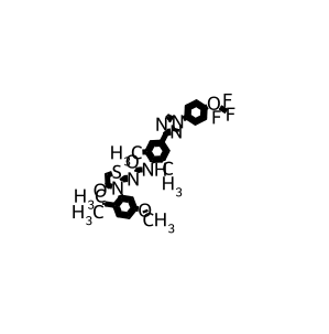 COc1ccc(C(C)C)c(N2C(=O)CSC2=NC(=O)Nc2c(C)cc(-c3ncn(-c4ccc(OC(F)(F)F)cc4)n3)cc2C)c1